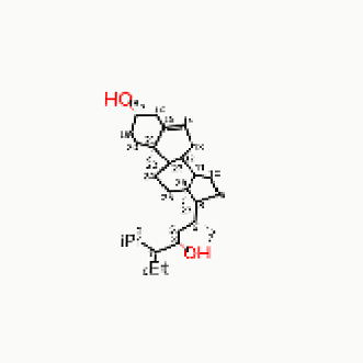 CC[C@@H](C(C)C)[C@@H](O)C[C@@H](C)C1CCC2C3CC=C4C[C@@H](O)CC[C@]4(C)C3CC[C@@]21C